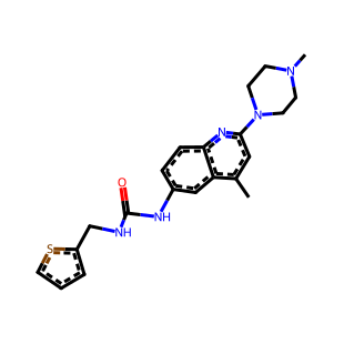 Cc1cc(N2CCN(C)CC2)nc2ccc(NC(=O)NCc3cccs3)cc12